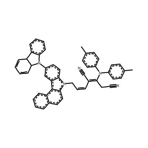 Cc1ccc(N(/C(CC#N)=C(C#N)/C=C\Cn2c3ccc(N4c5ccccc5C5C=CC=CC54)cc3c3c4ccccc4ccc32)c2ccc(C)cc2)cc1